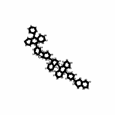 c1ccc(-c2c3ccccc3c(-c3ccc4oc5cc(-c6ccc(-c7c8ccccc8c(-c8ccc(-c9ccc%10ccccc%10c9)cc8)c8ccccc78)c7ccccc67)ccc5c4c3)c3ccccc23)cc1